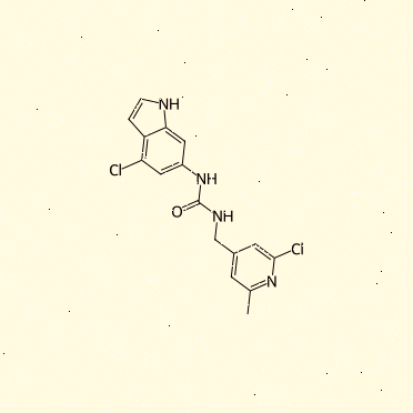 Cc1cc(CNC(=O)Nc2cc(Cl)c3cc[nH]c3c2)cc(Cl)n1